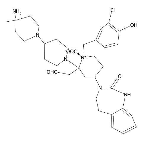 CC1(N)CCN(C2CCN(C3(CC=O)CC(N4CCc5ccccc5NC4=O)CC[N@+]3(Cc3ccc(O)c(Cl)c3)C(=O)[O-])CC2)CC1